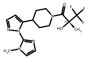 Cn1ccnc1-n1nccc1C1CCN(C(=O)[C@@](C)(O)C(F)(F)F)CC1